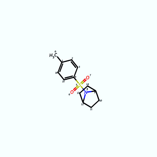 Cc1ccc(S(=O)(=O)N2C3CCC2CC3)cc1